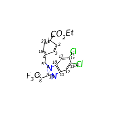 CCOC(=O)c1ccc(Cn2c(CC(F)(F)F)nc3cc(Cl)c(Cl)cc32)cc1